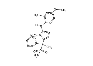 COc1ccc(C(=O)c2ccc(C(C)(c3ccccc3)S(N)(=O)=O)n2C)c(C)c1